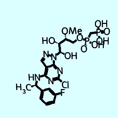 CO[C@H](COP(=O)(O)CP(=O)(O)O)[C@@H](O)[C@@H](O)n1ncc2c(N[C@H](C)c3cccc(F)c3)nc(Cl)nc21